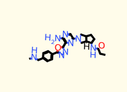 CCC(=O)NC1CCC2CN(c3cnc(N)c(-c4nnc(-c5ccc(CNC)cc5)o4)n3)C[C@@H]21